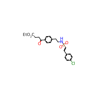 CCOC(=O)CCC(=O)c1ccc(CCNS(=O)(=O)C=Cc2ccc(Cl)cc2)cc1